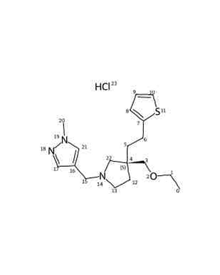 CCOC[C@@]1(CCc2cccs2)CCN(Cc2cnn(C)c2)C1.Cl